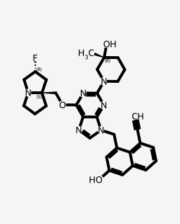 C#Cc1cccc2cc(O)cc(Cn3cnc4c(OC[C@@]56CCCN5C[C@H](F)C6)nc(N5CCC[C@@](C)(O)C5)nc43)c12